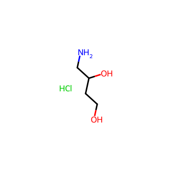 Cl.NCC(O)CCO